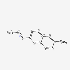 COc1ccc2cc(/C=N/OC(C)=O)ccc2c1